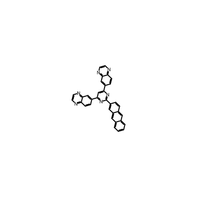 c1ccc2cc3cc(-c4nc(-c5ccc6nccnc6c5)cc(-c5ccc6nccnc6c5)n4)ccc3cc2c1